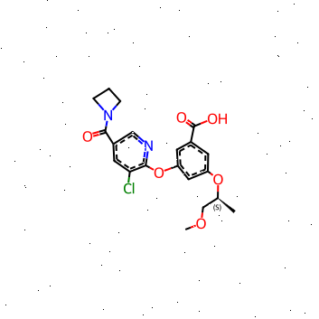 COC[C@H](C)Oc1cc(Oc2ncc(C(=O)N3CCC3)cc2Cl)cc(C(=O)O)c1